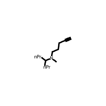 C#CCCCN(C)C(CCC)CCC